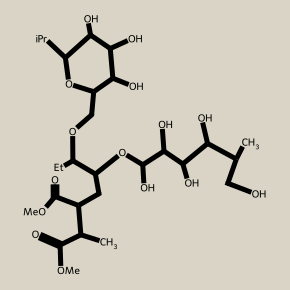 CCC(OCC1OC(C(C)C)C(O)C(O)C1O)C(CC(C(=O)OC)C(C)C(=O)OC)OC(O)C(O)C(O)C(O)C(C)CO